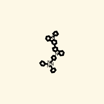 c1ccc(-c2nc(-c3ccccc3)nc(-c3ccc(-n4c5ccccc5c5cc(-c6ccc7c(c6)c6ccccc6n7-c6ccccc6)ccc54)cc3)n2)cc1